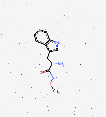 CONC(=O)[C@@H](N)Cc1c[nH]c2ccccc12